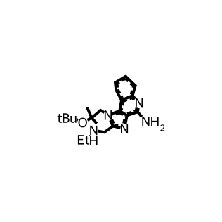 CCNCc1nc2c(N)nc3ccccc3c2n1CC(C)(C)OC(C)(C)C